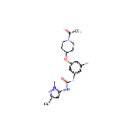 Cn1nc(C(C)(C)C)cc1NC(=O)Nc1cc(F)cc(OC2CCN(C(=O)C(Cl)(Cl)Cl)CC2)c1